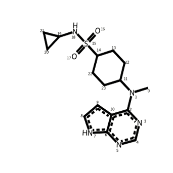 CN(c1ncnc2[nH]ccc12)C1CCC(S(=O)(=O)NC2CC2)CC1